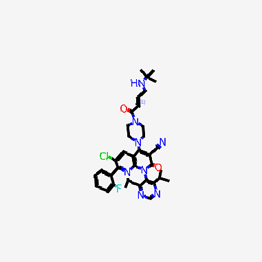 CC(C)c1ncnc(C(C)C)c1-n1c(=O)c(C#N)c(N2CCN(C(=O)/C=C/CNC(C)(C)C)CC2)c2cc(Cl)c(-c3ccccc3F)nc21